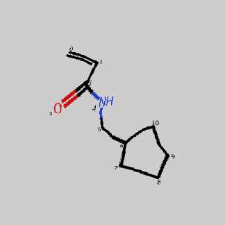 C=CC(=O)NCC1CCCC1